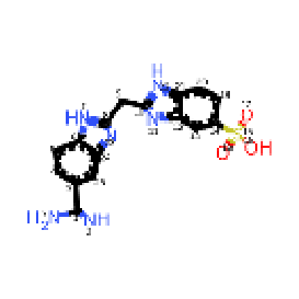 N=C(N)c1ccc2[nH]c(Cc3nc4cc(S(=O)(=O)O)ccc4[nH]3)nc2c1